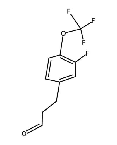 O=CCCc1ccc(OC(F)(F)F)c(F)c1